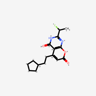 CC(F)c1nc2oc(=O)cc(CCC3CCCC3)c2c(=O)[nH]1